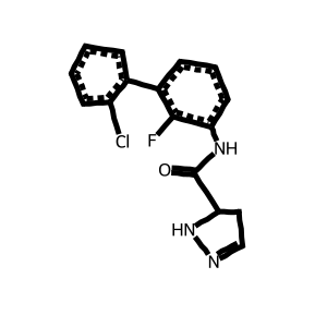 O=C(Nc1cccc(-c2ccccc2Cl)c1F)C1CC=NN1